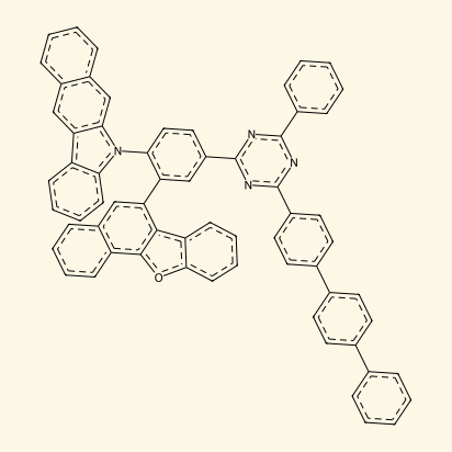 c1ccc(-c2ccc(-c3ccc(-c4nc(-c5ccccc5)nc(-c5ccc(-n6c7ccccc7c7cc8ccccc8cc76)c(-c6cc7ccccc7c7oc8ccccc8c67)c5)n4)cc3)cc2)cc1